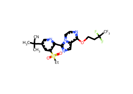 CCS(=O)(=O)c1cc(C(C)(C)C#N)cnc1-c1ncc2c(OCCC(F)(F)C(F)(F)F)nccn12